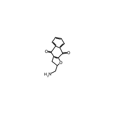 NCC1CC2=C(O1)C(=O)c1ccccc1C2=O